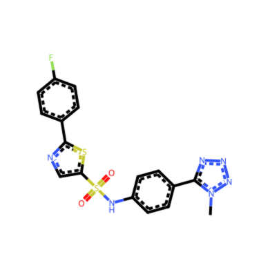 Cn1nnnc1-c1ccc(NS(=O)(=O)c2cnc(-c3ccc(F)cc3)s2)cc1